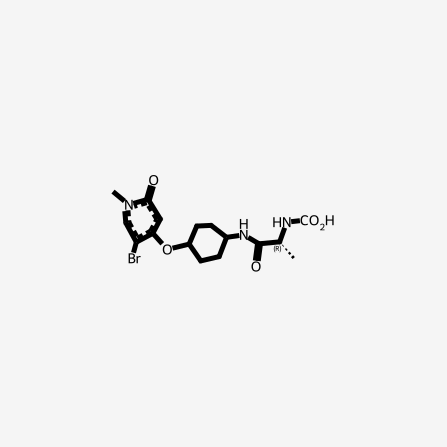 C[C@@H](NC(=O)O)C(=O)NC1CCC(Oc2cc(=O)n(C)cc2Br)CC1